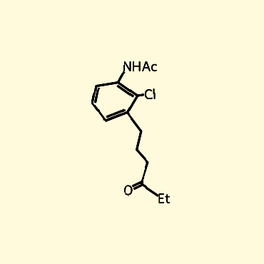 CCC(=O)CCCc1cccc(NC(C)=O)c1Cl